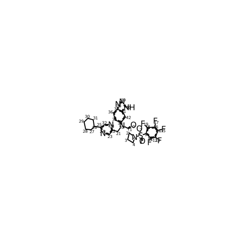 O=C([C@H]1CCN1S(=O)(=O)c1c(F)c(F)c(F)c(F)c1F)N(Cc1cnc(C2CCCCC2)cn1)c1ccc2nn[nH]c2c1